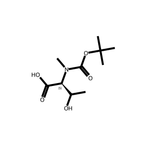 CC(O)[C@@H](C(=O)O)N(C)C(=O)OC(C)(C)C